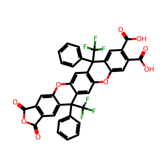 O=C(O)c1cc2c(cc1C(=O)O)C(c1ccccc1)(C(F)(F)F)c1cc3c(cc1O2)C(c1ccccc1)(C(F)(F)F)c1cc2c(cc1O3)C(=O)OC2=O